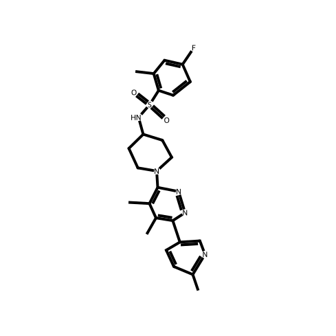 Cc1ccc(-c2nnc(N3CCC(NS(=O)(=O)c4ccc(F)cc4C)CC3)c(C)c2C)cn1